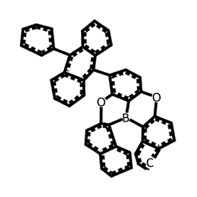 c1ccc(-c2c3ccccc3c(-c3ccc4c5c3Oc3ccc6ccccc6c3B5c3c(ccc5ccccc35)O4)c3ccccc23)cc1